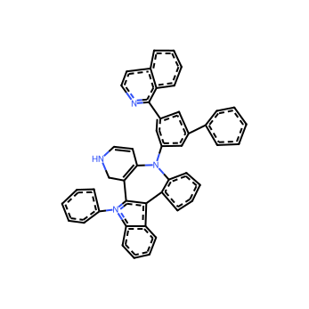 C1=CC2=C(CN1)c1c(c3ccccc3n1-c1ccccc1)-c1ccccc1N2c1cc(-c2ccccc2)cc(-c2nccc3ccccc23)c1